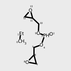 CCC.O=[PH](OCC1CO1)OCC1CO1